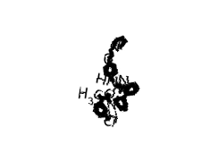 CC(C(=O)Nc1cccc(-c2cccc3nc(Nc4ccc(OCCN5CCCC5)cc4)nn23)c1)c1cccc(Cl)c1